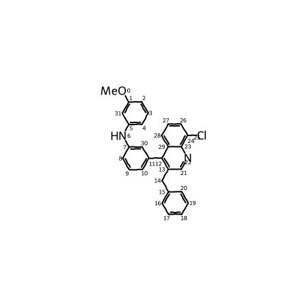 COc1cccc(Nc2cccc(-c3c(Cc4ccccc4)cnc4c(Cl)cccc34)c2)c1